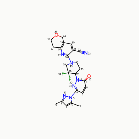 Cc1cc(C)n(-c2ccc(=O)n(C3CCN(c4nc5c(cc4C#N)COCC5)CC3(F)F)n2)n1